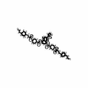 CCCc1ccc(CCC(=O)OC2CCC(C(=O)Oc3ccc(OC(=O)C4CCC(OC(=O)CCc5ccc(CCC)cc5)CC4)c4nc(-c5cccs5)cnc34)CC2)cc1